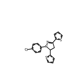 Clc1ccc(N2N=C(c3cccs3)CC2c2cccs2)cc1